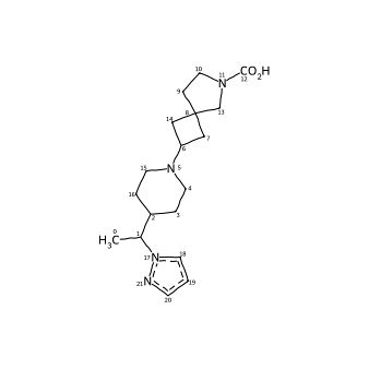 CC(C1CCN(C2CC3(CCN(C(=O)O)C3)C2)CC1)n1cccn1